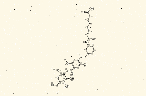 COc1cc(OCc2cccc(NC(=O)COCCOCC(=O)O)c2)c(Cl)cc1C(=O)O[C@H]1[C@@H](OC)O[C@H](CO)[C@@H](O)[C@@H]1O